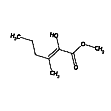 CCCC(C)=C(O)C(=O)OC